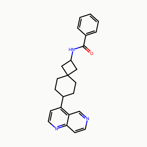 O=C(NC1CC2(CCC(c3ccnc4ccncc34)CC2)C1)c1ccccc1